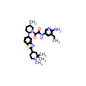 CCc1cc(NC(=O)C(=O)N2C[C@@H](C)CC[C@@H]2c2ccc3sc(C4CCN(C)C(C)(C)C4)nc3c2)cnc1N